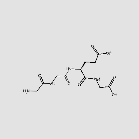 NCC(=O)NCC(=O)N[C@@H](CCC(=O)O)C(=O)NCC(=O)O